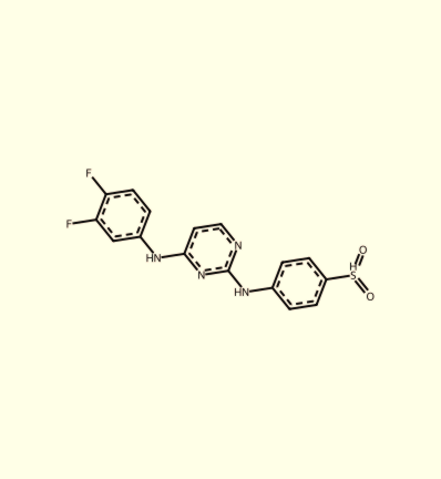 O=[SH](=O)c1ccc(Nc2nccc(Nc3ccc(F)c(F)c3)n2)cc1